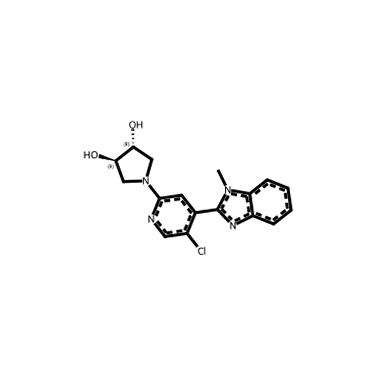 Cn1c(-c2cc(N3C[C@@H](O)[C@H](O)C3)ncc2Cl)nc2ccccc21